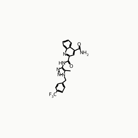 Cc1c(NC(=O)c2cc(C(N)=O)c3ccccc3n2)nnn1Cc1ccc(C(F)(F)F)cc1